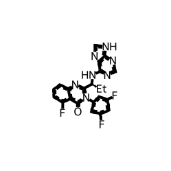 CC[C@H](Nc1ncnc2[nH]cnc12)c1nc2cccc(F)c2c(=O)n1-c1cc(F)cc(F)c1